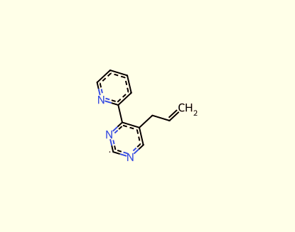 C=CCc1cn[c]nc1-c1ccccn1